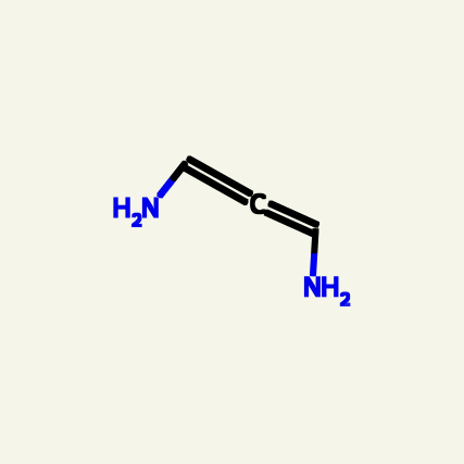 NC=C=CN